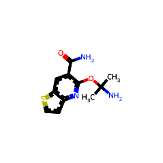 CC(C)(N)Oc1nc2ccsc2cc1C(N)=O